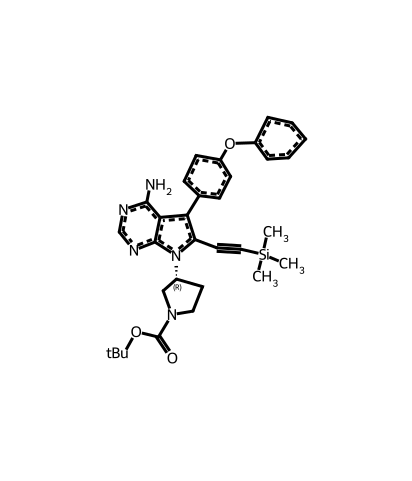 CC(C)(C)OC(=O)N1CC[C@@H](n2c(C#C[Si](C)(C)C)c(-c3ccc(Oc4ccccc4)cc3)c3c(N)ncnc32)C1